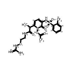 CC(C(=O)NCCONC(=N)N)c1ccc(NS(=O)(=O)c2ccccc2C(F)(F)F)c(=O)n1OC(=O)C(F)(F)F